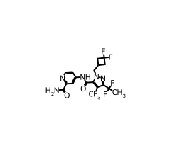 CC(F)(F)c1nn(CC2CC(F)(F)C2)c(C(=O)Nc2ccnc(C(N)=O)c2)c1C(F)(F)F